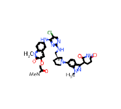 CNC(=O)COc1cc2cc(Nc3nc(NC[C@@H]4CCCN(c5ccc6c(C7CCC(=O)NC7=O)nn(C)c6c5)C4)ncc3Cl)ccc2n(C)c1=O